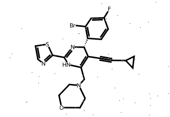 Fc1ccc([C@H]2N=C(c3nccs3)NC(CN3CCOCC3)=C2C#CC2CC2)c(Br)c1